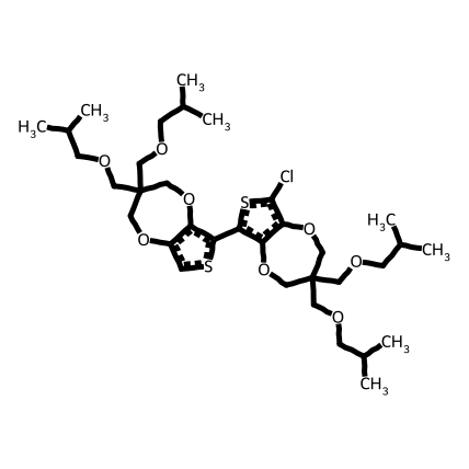 CC(C)COCC1(COCC(C)C)COc2csc(-c3sc(Cl)c4c3OCC(COCC(C)C)(COCC(C)C)CO4)c2OC1